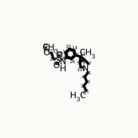 CCCCCCN1CC2C(C1)C2(C)c1cccc(NS(=O)(=O)CCOC)c1